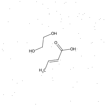 CC=CC(=O)O.OCCO